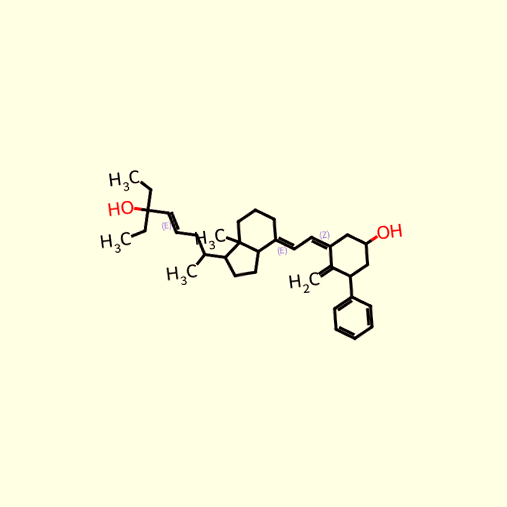 C=C1/C(=C\C=C2/CCCC3(C)C2CCC3C(C)C/C=C/C(O)(CC)CC)CC(O)CC1c1ccccc1